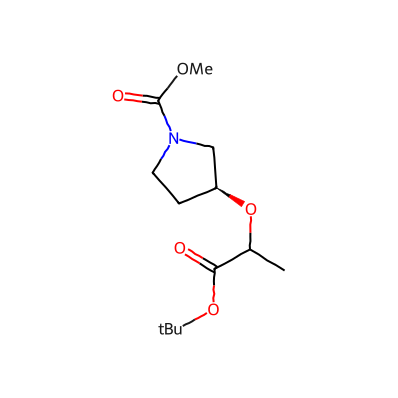 COC(=O)N1CC[C@H](OC(C)C(=O)OC(C)(C)C)C1